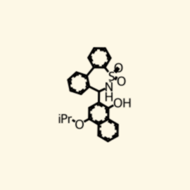 CC(C)Oc1cc(C2NS(=O)(=O)c3ccccc3-c3ccccc32)c(O)c2ccccc12